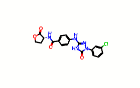 O=C(N[C@@H]1CCOC1=O)c1ccc(Nc2nn(-c3cccc(Cl)c3)c(=O)[nH]2)cc1